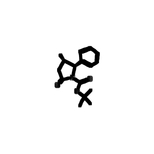 C[C@@H]1CC(=O)N(C(=O)OC(C)(C)C)[C@@H]1c1ccccc1